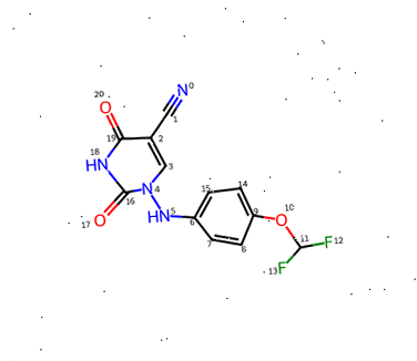 N#Cc1cn(Nc2ccc(OC(F)F)cc2)c(=O)[nH]c1=O